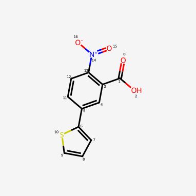 O=C(O)c1cc(-c2cccs2)ccc1[N+](=O)[O-]